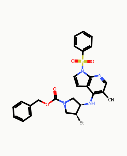 CC[C@H]1CN(C(=O)OCc2ccccc2)C[C@H]1Nc1c(C#N)cnc2c1ccn2S(=O)(=O)c1ccccc1